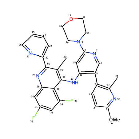 COc1ccc(-c2cnc(N3CCOCC3)cc2Nc2c(C)c(-c3ccccn3)nc3cc(F)cc(F)c23)c(C)n1